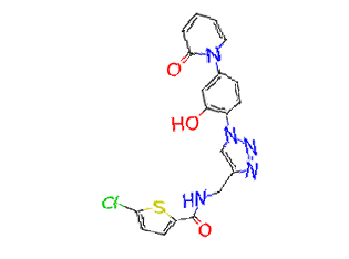 O=C(NCc1cn(-c2ccc(-n3ccccc3=O)cc2O)nn1)c1ccc(Cl)s1